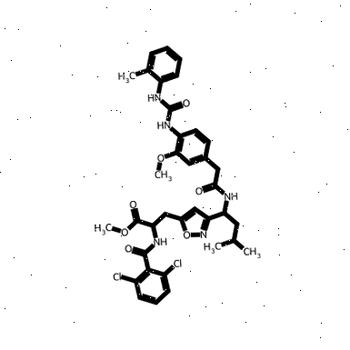 COC(=O)C(Cc1cc(C(CC(C)C)NC(=O)Cc2ccc(NC(=O)Nc3ccccc3C)c(OC)c2)no1)NC(=O)c1c(Cl)cccc1Cl